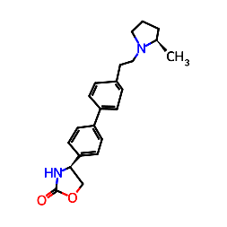 C[C@@H]1CCCN1CCc1ccc(-c2ccc([C@H]3COC(=O)N3)cc2)cc1